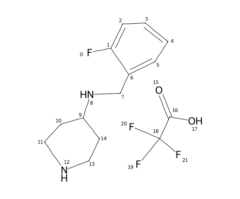 Fc1ccccc1CNC1CCNCC1.O=C(O)C(F)(F)F